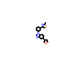 Cc1nc(-c2cccc(-n3cnc4cc(-c5ccoc5)ccc43)c2)cs1